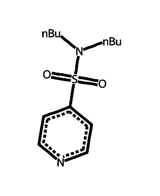 CCCCN(CCCC)S(=O)(=O)c1ccncc1